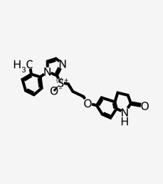 Cc1ccccc1-n1ccnc1[S@+]([O-])CCCOc1ccc2c(c1)CCC(=O)N2